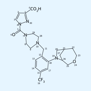 O=C(O)c1ccn(C(=O)N2CCN(Cc3ccc(C(F)(F)F)cc3N3CC4CCOCC3C4)CC2)n1